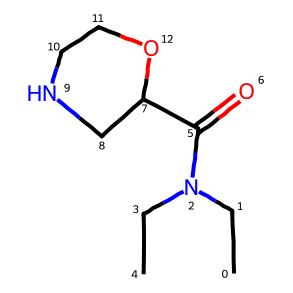 CCN(CC)C(=O)C1CNCCO1